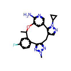 CC1Oc2cc(cnc2N)-c2c(cnn2C2CC2)Cc2nn(C)nc2-c2ccc(F)cc21